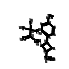 CNC1CC(c2ccc(C(C)C)cc2)C1.O=C(O)C(F)(F)F